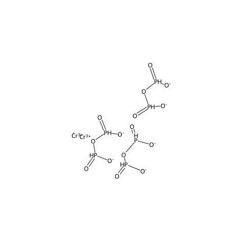 O=[PH]([O-])O[PH](=O)[O-].O=[PH]([O-])O[PH](=O)[O-].O=[PH]([O-])O[PH](=O)[O-].[Cr+3].[Cr+3]